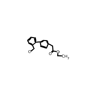 CCOC(=O)Cc1ccc(-c2ccccc2CCl)cc1